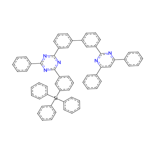 c1ccc(-c2cc(-c3ccccc3)nc(-c3cccc(-c4cccc(-c5nc(-c6ccccc6)nc(-c6cccc([Si](c7ccccc7)(c7ccccc7)c7ccccc7)c6)n5)c4)c3)n2)cc1